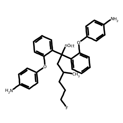 CCCCCCCCC(CC(C)CCCF)(c1ccccc1Oc1ccc(N)cc1)c1ccccc1Oc1ccc(N)cc1